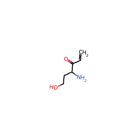 C=CC(=O)C(N)CCO